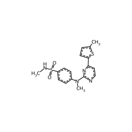 CNS(=O)(=O)c1ccc(N(C)c2nccc(-c3ccc(C)s3)n2)cc1